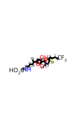 C/C(=C/c1ccc(CCC(F)(F)F)s1)C(=O)c1c(O)cc(C(C)CC/C=C/NC(=O)O)oc1=O